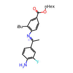 CCCCCCOC(=O)c1ccc(/N=C(\C)c2ccc(N)c(F)c2)c(C(C)CC)c1